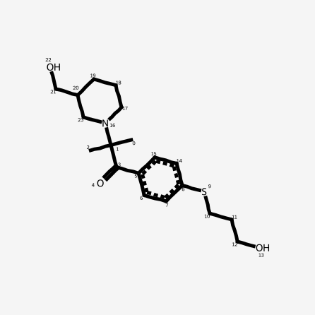 CC(C)(C(=O)c1ccc(SCCCO)cc1)N1CCCC(CO)C1